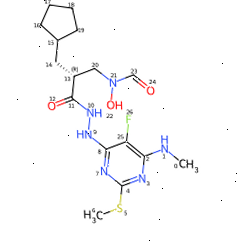 CNc1nc(SC)nc(NNC(=O)[C@H](CC2CCCC2)CN(O)C=O)c1F